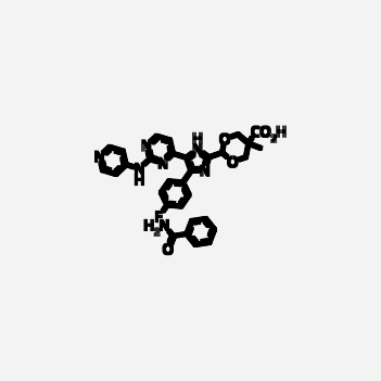 CC1(C(=O)O)COC(c2nc(-c3ccc(F)cc3)c(-c3ccnc(Nc4ccncc4)n3)[nH]2)OC1.NC(=O)c1ccccc1